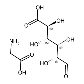 NCC(=O)O.O=C[C@H](O)[C@@H](O)[C@H](O)[C@H](O)C(=O)O